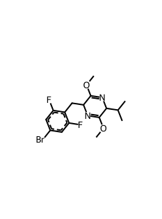 COC1=NC(C(C)C)C(OC)=NC1Cc1c(F)cc(Br)cc1F